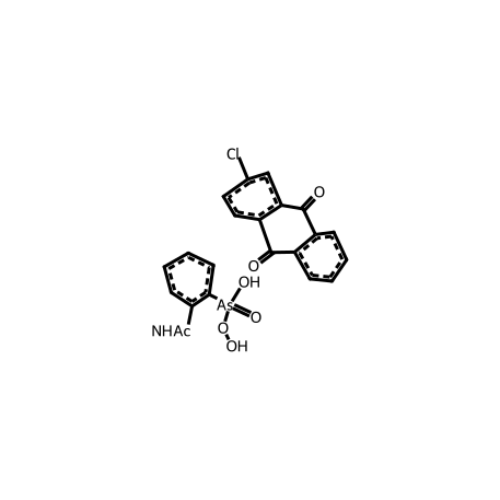 CC(=O)Nc1ccccc1[As](=O)(O)OO.O=C1c2ccccc2C(=O)c2cc(Cl)ccc21